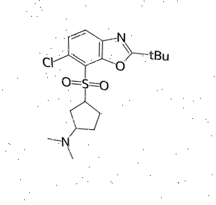 CN(C)C1CCC(S(=O)(=O)c2c(Cl)ccc3nc(C(C)(C)C)oc23)C1